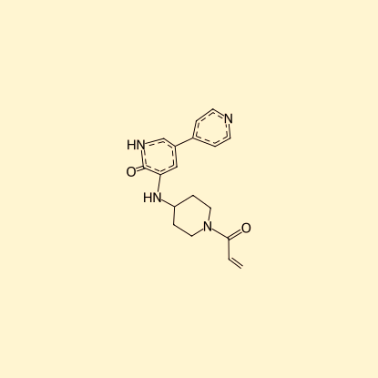 C=CC(=O)N1CCC(Nc2cc(-c3ccncc3)c[nH]c2=O)CC1